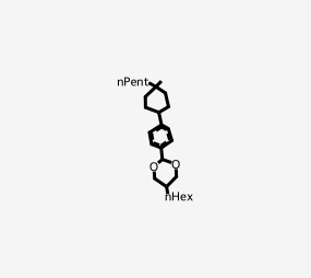 CCCCCCC1COC(c2ccc(C3CCC(C)(CCCCC)CC3)cc2)OC1